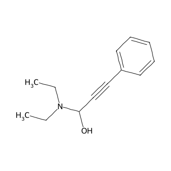 CCN(CC)C(O)C#Cc1ccccc1